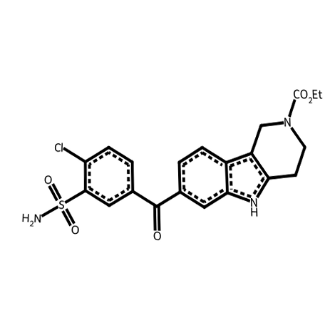 CCOC(=O)N1CCc2[nH]c3cc(C(=O)c4ccc(Cl)c(S(N)(=O)=O)c4)ccc3c2C1